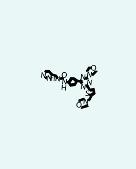 O=C(NCc1ccncn1)Nc1ccc(-c2nc(-c3ccc(CN4CCOCC4)s3)nc(N3CCOCC3)n2)cc1